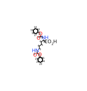 O=C(NCCCCC(NC(=O)Oc1ccccc1)C(=O)O)Oc1ccccc1